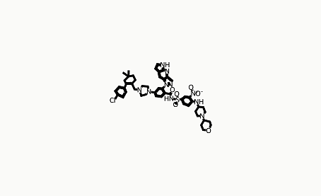 CC1(C)CCC(CN2CCN(c3ccc(C(=O)NS(=O)(=O)c4ccc(NC5CCN(C6CCOCC6)CC5)c([N+](=O)[O-])c4)c(-n4ncc5nc6[nH]ccc6cc54)c3)CC2)=C(c2ccc(Cl)cc2)C1